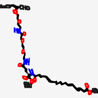 COCC(C=O)OCCOCCNC(=O)COCCOCCNC(=O)CC[C@H](NC(=O)CCCCCCCCCCCCCCC(=O)OC(C)(C)C)C(=O)OC(C)(C)C